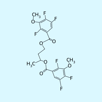 COc1c(F)c(F)cc(C(=O)OCCC(C)OC(=O)c2cc(F)c(F)c(OC)c2F)c1F